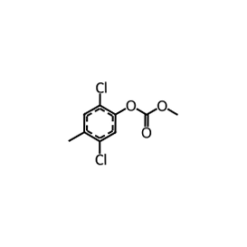 COC(=O)Oc1cc(Cl)c(C)cc1Cl